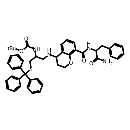 CC(C)(C)OC(=O)NC(CNC1CCOc2c(C(=O)NC(Cc3ccccc3)C(N)=O)cccc21)CSC(c1ccccc1)(c1ccccc1)c1ccccc1